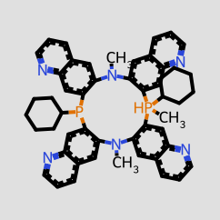 CN1c2cc3cccnc3cc2P(C2CCCCC2)c2cc3ncccc3cc2N(C)c2cc3cccnc3cc2[PH](C)(C2CCCCC2)c2cc3ncccc3cc21